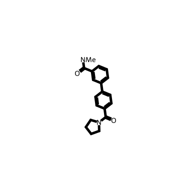 CNC(=O)c1cccc(-c2ccc(C(=O)N3CCCC3)cc2)c1